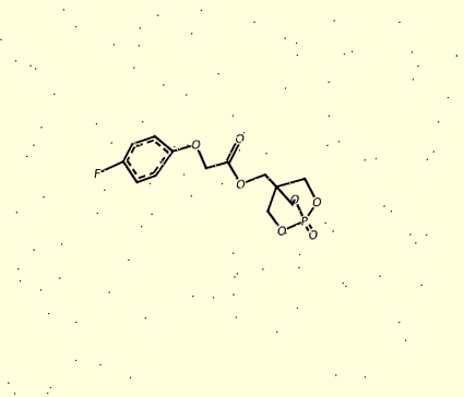 O=C(COc1ccc(F)cc1)OCC12COP(=O)(OC1)OC2